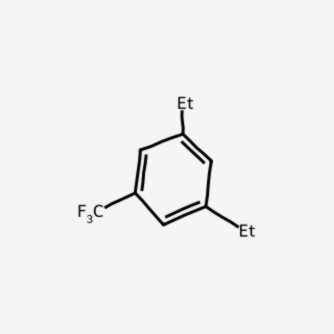 CCc1cc(CC)cc(C(F)(F)F)c1